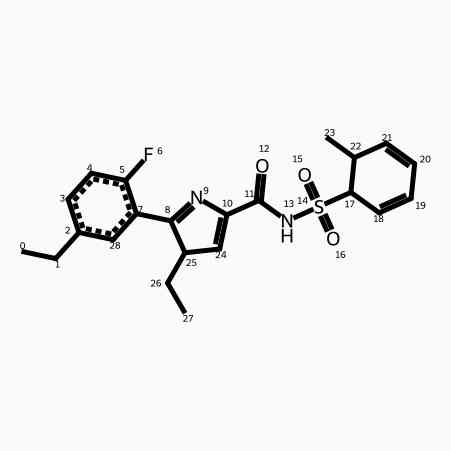 CCc1ccc(F)c(C2=NC(C(=O)NS(=O)(=O)C3C=CC=CC3C)=CC2CC)c1